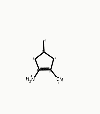 CC1CC(N)=C(C#N)C1